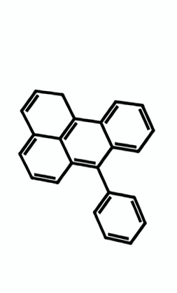 C1=Cc2cccc3c(-c4ccccc4)c4ccccc4c(c23)C1